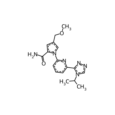 COCc1cc(C(N)=O)n(-c2cccc(-c3nncn3C(C)C)n2)c1